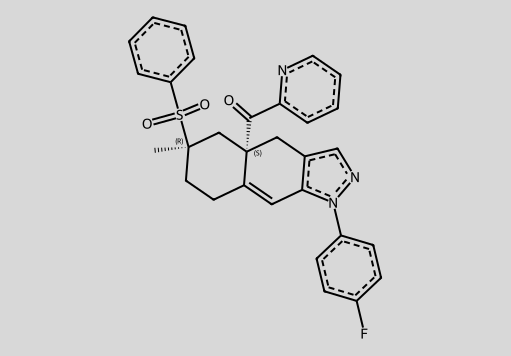 C[C@@]1(S(=O)(=O)c2ccccc2)CCC2=Cc3c(cnn3-c3ccc(F)cc3)C[C@]2(C(=O)c2ccccn2)C1